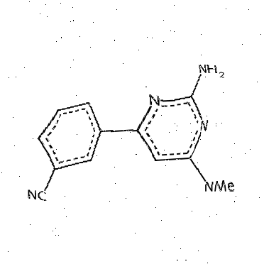 CNc1cc(-c2cccc(C#N)c2)nc(N)n1